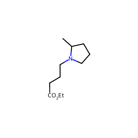 CCOC(=O)CCCN1CCCC1C